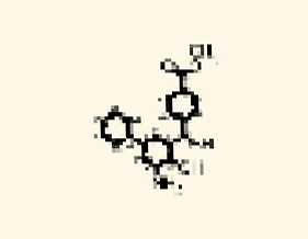 COC(=O)c1ccc(C(S)c2cc(-c3ccccc3)cc(N)c2O)cc1